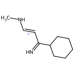 CN/C=C/C(=N)C1CCCCC1